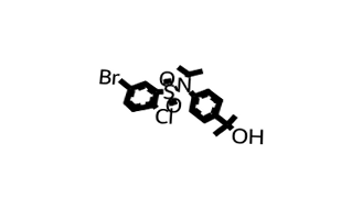 CC(C)N(c1ccc(C(C)(C)O)cc1)S(=O)(=O)c1cc(Br)ccc1Cl